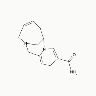 NC(=O)C1=CN2C(=CC1)CN1CC=CCC2C1